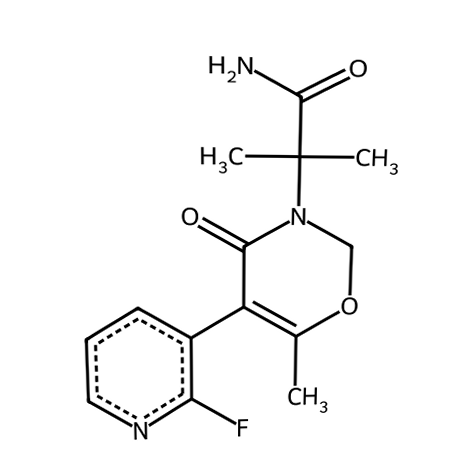 CC1=C(c2cccnc2F)C(=O)N(C(C)(C)C(N)=O)CO1